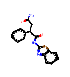 NC(=O)CC(C(=O)Nc1nc2ccccc2s1)c1ccccc1